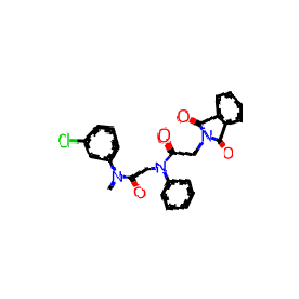 CN(C(=O)CN(C(=O)CN1C(=O)c2ccccc2C1=O)c1ccccc1)c1cccc(Cl)c1